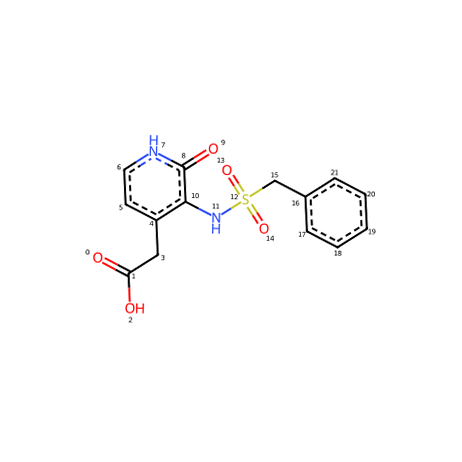 O=C(O)Cc1cc[nH]c(=O)c1NS(=O)(=O)Cc1ccccc1